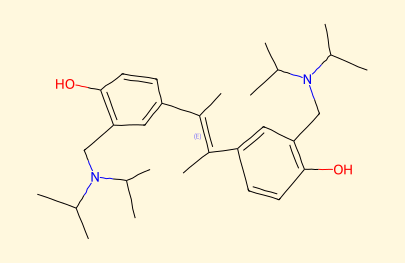 C/C(=C(/C)c1ccc(O)c(CN(C(C)C)C(C)C)c1)c1ccc(O)c(CN(C(C)C)C(C)C)c1